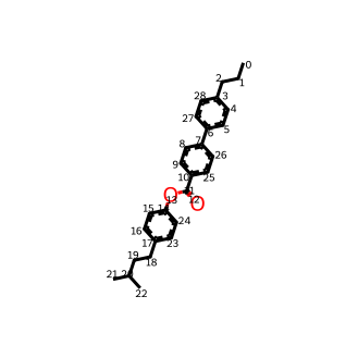 CCCc1ccc(-c2ccc(C(=O)Oc3ccc(CCC(C)C)cc3)cc2)cc1